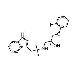 CC(C)(Cc1c[nH]c2ccccc12)NC[C@H](O)COc1ccccc1I